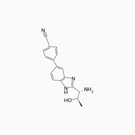 C[C@@H](O)[C@@H](N)c1nc2cc(-c3ccc(C#N)cc3)ccc2[nH]1